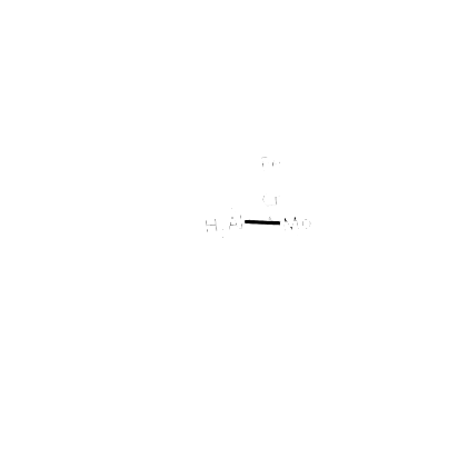 [AlH2][Mo].[Cr].[Fe]